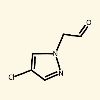 O=CCn1cc(Cl)cn1